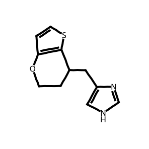 c1nc(CC2CCOc3ccsc32)c[nH]1